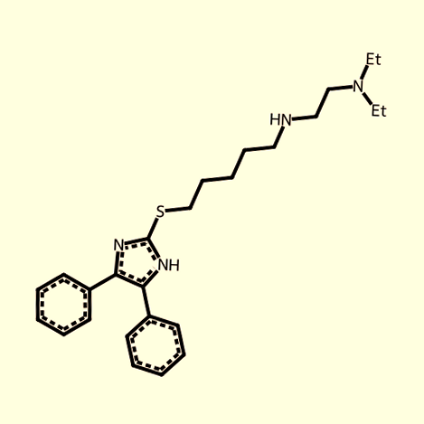 CCN(CC)CCNCCCCCSc1nc(-c2ccccc2)c(-c2ccccc2)[nH]1